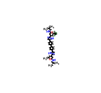 CCC[C@H](CC(=O)NCC(C)C)c1ncc(-c2ccc(-c3ccc(-c4cnc([C@H](CCC(F)(F)F)CC(=O)NCC(C)C)[nH]4)cc3)cc2)[nH]1